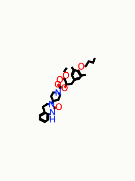 CCCCOc1c(C)cc(CC(OC(=O)N2CCC(N3CCc4ccccc4NC3=O)CC2)C(=O)OCC)cc1C